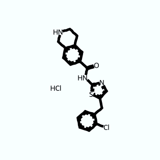 Cl.O=C(Nc1ncc(Cc2ccccc2Cl)s1)c1ccc2c(c1)CCNC2